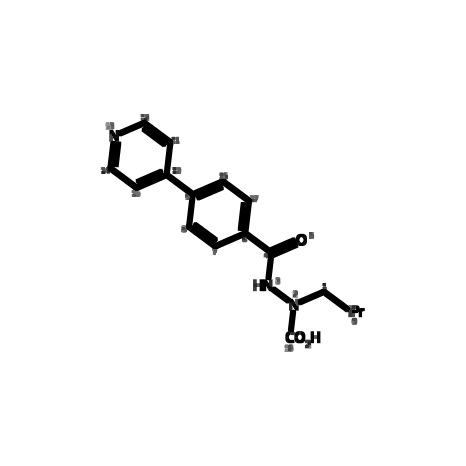 CC(C)CN(NC(=O)c1ccc(-c2ccncc2)cc1)C(=O)O